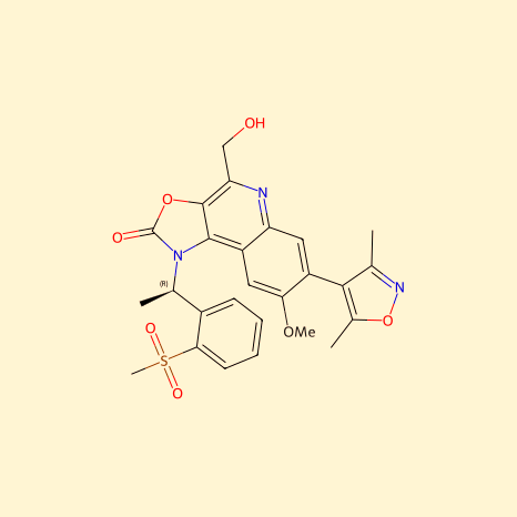 COc1cc2c(cc1-c1c(C)noc1C)nc(CO)c1oc(=O)n([C@H](C)c3ccccc3S(C)(=O)=O)c12